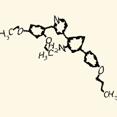 CCCCOc1ccc(-c2ccc(-c3ccnc(-c4ccc(OCC)cc4OCC)c3)c(N)c2)cc1